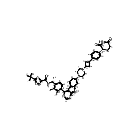 Cc1c([C@@H](C)NC(=O)c2noc(C(C)(C)C)n2)ccc(-c2ncnc3[nH]c4cc(N5CCN(C6CC(c7ccc([C@@H]8CCC(=O)NC8=O)cc7)C6)CC5)ccc4c23)c1F